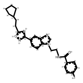 O=C(NCCn1cnc2cc(-c3noc(CCC4CCCC4)n3)ccc21)c1ccc(I)cc1